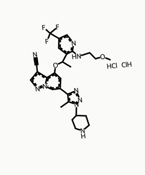 COCCNc1ncc(C(F)(F)F)cc1C(C)Oc1cc(-c2nnn(C3CCNCC3)c2C)cn2ncc(C#N)c12.Cl.Cl